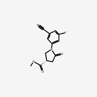 COC(=O)[C@H]1CC(=O)N(c2cc(F)cc(C#N)c2)C1